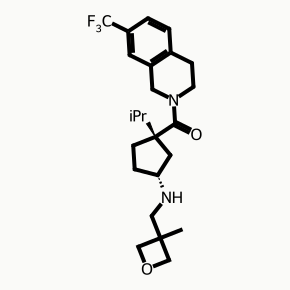 CC(C)[C@]1(C(=O)N2CCc3ccc(C(F)(F)F)cc3C2)CC[C@@H](NCC2(C)COC2)C1